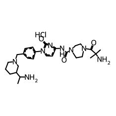 CC(N)C1CCCN(Cc2ccc(-n3ccc(NC(=O)N4CCN(C(=O)C(C)(C)N)CC4)nc3=O)cc2)C1.Cl